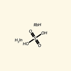 O=S(=O)(O)O.[InH3].[RbH]